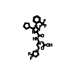 O=C(O)C[C@H](CCN1CCC(F)(F)C1)NC(=O)c1nc(C2CCCC2)n(-c2ccccc2C(F)(F)F)n1